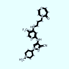 CN1CCC(n2cc(Nc3cc(NCCCN4C=COC=CC4=O)c(C(F)(F)F)cn3)c(C#N)n2)CC1